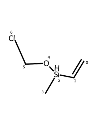 C=C[SiH](C)OCCl